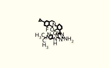 CC(C)n1cc(Nc2nc(N)nc(-c3cccc(N4CCc5cc(C6CC6)cc(F)c5C4=O)c3CO)n2)cn1